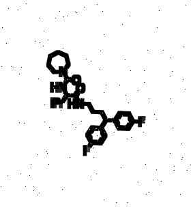 CC(C)C(NC(=O)N1CCCCCC1)C(=O)NCCCC(c1ccc(F)cc1)c1ccc(F)cc1